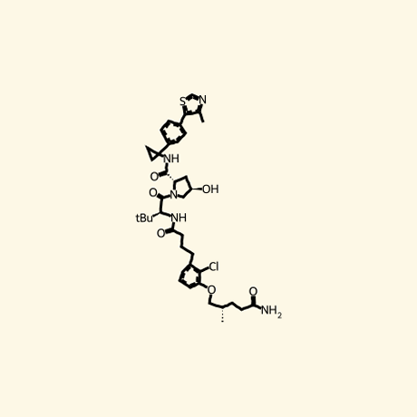 Cc1ncsc1-c1ccc(C2(NC(=O)[C@@H]3C[C@@H](O)CN3C(=O)[C@@H](NC(=O)CCCc3cccc(OC[C@@H](C)CCC(N)=O)c3Cl)C(C)(C)C)CC2)cc1